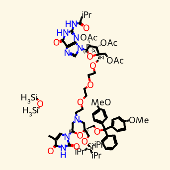 COc1ccc(C(OC[C@]2(CO[Si](C(C)C)(C(C)C)C(C)C)CN(CCOCCOCCOC[C@]3(COC(C)=O)O[C@@H](n4cnc5c(=O)[nH]c(NC(=O)C(C)C)nc54)[C@H](OC(C)=O)[C@@H]3OC(C)=O)C[C@H](n3cc(C)c(=O)[nH]c3=O)O2)(c2ccccc2)c2ccc(OC)cc2)cc1.[SiH3]O[SiH3]